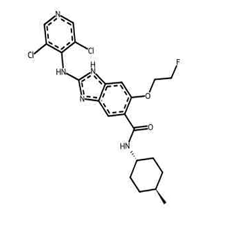 C[C@H]1CC[C@H](NC(=O)c2cc3nc(Nc4c(Cl)cncc4Cl)[nH]c3cc2OCCF)CC1